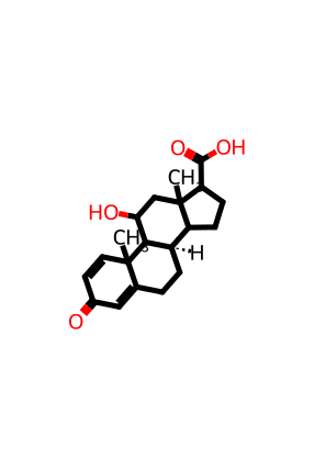 CC12C=CC(=O)C=C1CC[C@H]1C2C(O)CC2(C)C(C(=O)O)CCC12